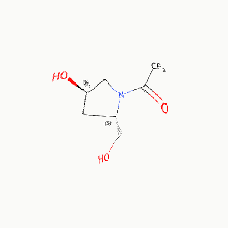 O=C(N1C[C@H](O)C[C@H]1CO)C(F)(F)F